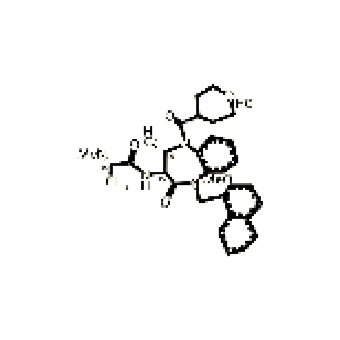 CN[C@@H](C)C(=O)N[C@@H]1C(=O)N(Cc2c(OC)ccc3ccccc23)c2ccccc2N(C(=O)C2CCOCC2)[C@H]1C.Cl